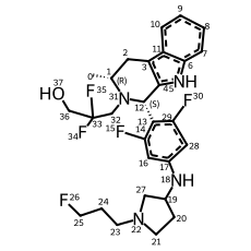 C[C@@H]1Cc2c([nH]c3ccccc23)[C@H](c2c(F)cc(NC3CCN(CCCF)C3)cc2F)N1CC(F)(F)CO